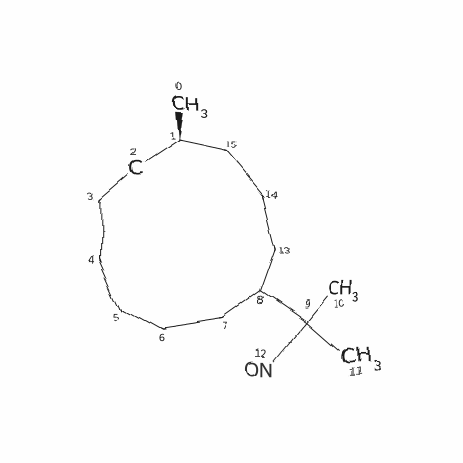 C[C@@H]1CCCCCCC(C(C)(C)N=O)CCC1